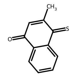 CC1=CC(=O)c2ccccc2C1=S